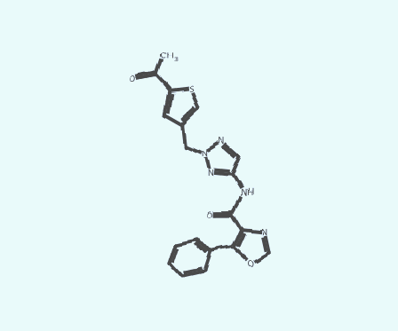 CC(=O)c1cc(Cn2ncc(NC(=O)c3ncoc3-c3ccccc3)n2)cs1